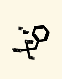 CC(C)(C)C(Cc1ccccc1)(C(=O)[O-])C(=O)[O-].[K+].[Na+]